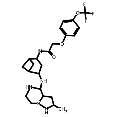 CC1CC2C(NC3CC(NC(=O)COc4ccc(OC(F)(F)F)cc4)C4CC3C4)NCCN2N1